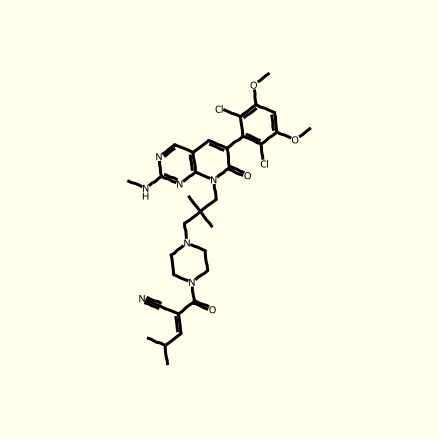 CNc1ncc2cc(-c3c(Cl)c(OC)cc(OC)c3Cl)c(=O)n(CC(C)(C)CN3CCN(C(=O)C(C#N)=CC(C)C)CC3)c2n1